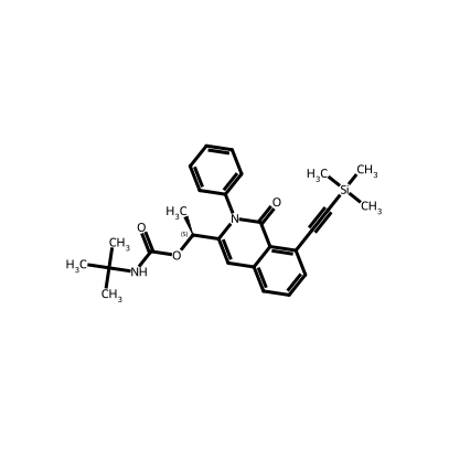 C[C@H](OC(=O)NC(C)(C)C)c1cc2cccc(C#C[Si](C)(C)C)c2c(=O)n1-c1ccccc1